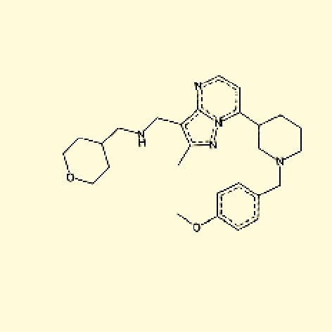 COc1ccc(CN2CCCC(c3ccnc4c(CNCC5CCOCC5)c(C)nn34)C2)cc1